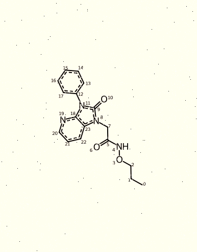 CCCONC(=O)Cn1c(=O)n(-c2ccccc2)c2ncccc21